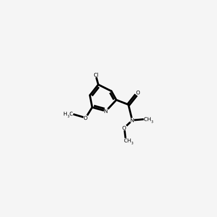 COc1cc(Cl)cc(C(=O)N(C)OC)n1